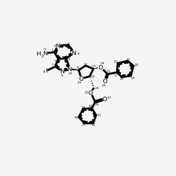 Nc1ncnc2c1c(I)nn2[C@H]1C[C@H](OC(=O)c2ccccc2)[C@H](COC(=O)c2ccccc2)O1